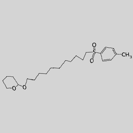 Cc1ccc(S(=O)(=O)CCCCCCCCCCCOC2CCCCO2)cc1